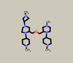 CCCN1CCN(C2CCN(C)CC2)C(COCC2CN(C3CN(C)C3)CCN2C2CCN(C)CC2)C1